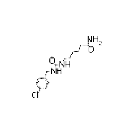 NC(=O)CCCCCNC(=O)NCc1ccc(Cl)cc1